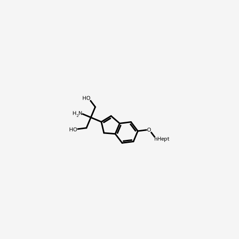 CCCCCCCOc1ccc2c(c1)C=C(C(N)(CO)CO)C2